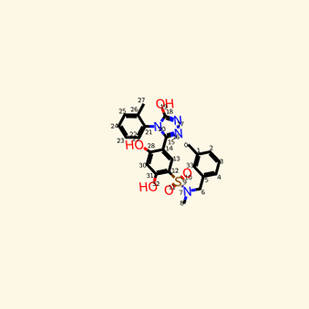 Cc1cccc(CN(C)S(=O)(=O)c2cc(-c3nnc(O)n3-c3ccccc3C)c(O)cc2O)c1